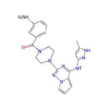 CC(=O)Nc1cccc(C(=O)N2CCN(c3nc(Nc4cc(C)[nH]n4)c4cccn4n3)CC2)c1